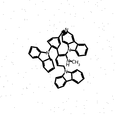 CN/C(=C(\C=C/Cn1c2ccccc2c2ccccc21)c1cc(C#N)ccc1-n1c2ccccc2c2ccccc21)n1c2ccccc2c2ccccc21